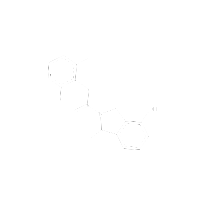 CC1c2cccc(O)c2CN1C(=O)Cc1c(Cl)cccc1Cl